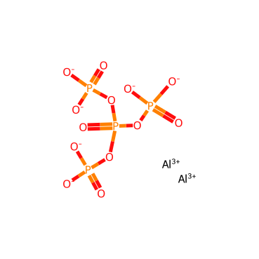 O=P([O-])([O-])OP(=O)(OP(=O)([O-])[O-])OP(=O)([O-])[O-].[Al+3].[Al+3]